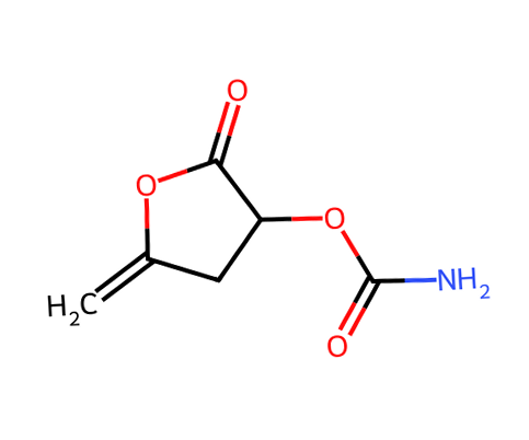 C=C1CC(OC(N)=O)C(=O)O1